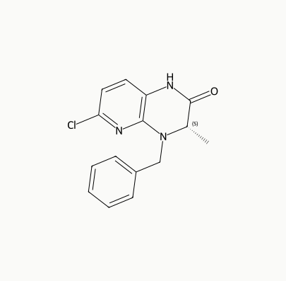 C[C@H]1C(=O)Nc2ccc(Cl)nc2N1Cc1ccccc1